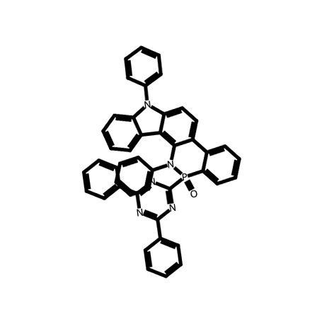 O=P1(c2nc(-c3ccccc3)nc(-c3ccccc3)n2)c2ccccc2-c2ccc3c(c2N1c1ccccc1)c1ccccc1n3-c1ccccc1